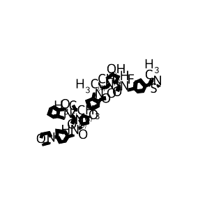 Cc1ncsc1-c1ccc(CNC(=O)[C@@H]2C[C@@H](O)CN2C(=O)[C@H](C(C)C)N2Cc3ccc(O[C@@H]4C[C@@H](C(=O)NCc5ccc(N6CCOCC6)cc5)N(C(=O)[C@H](C(C)C)N5Cc6ccccc6C5=O)C4)cc3C2=O)c(F)c1